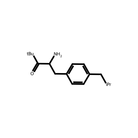 CC(C)Cc1ccc(CC(N)C(=O)C(C)(C)C)cc1